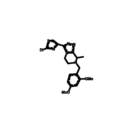 CCc1nc(-c2nnc3n2CCN(Cc2ccc(OC)cc2OC)C3C)cs1